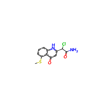 CSc1cccc2[nH]c(C(Cl)C(N)=O)cc(=O)c12